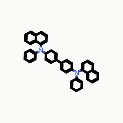 C1=CC(N(c2ccc(C3=CCC(N(c4ccccc4)c4cccc5ccccc45)C=C3)cc2)c2cccc3ccccc23)=CCC1